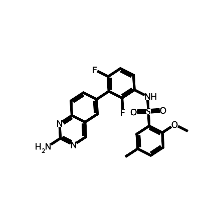 COc1ccc(C)cc1S(=O)(=O)Nc1ccc(F)c(-c2ccc3nc(N)ncc3c2)c1F